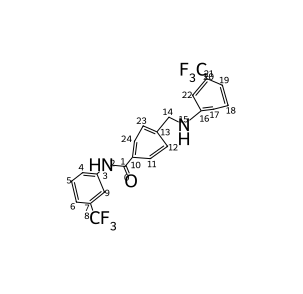 O=C(Nc1cccc(C(F)(F)F)c1)c1ccc(CNc2cccc(C(F)(F)F)c2)cc1